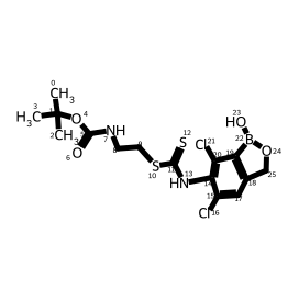 CC(C)(C)OC(=O)NCCSC(=S)Nc1c(Cl)cc2c(c1Cl)B(O)OC2